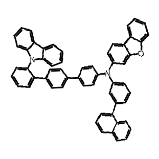 c1cc(-c2cccc3ccccc23)cc(N(c2ccc(-c3ccc(-c4ccccc4-n4c5ccccc5c5ccccc54)cc3)cc2)c2ccc3c(c2)oc2ccccc23)c1